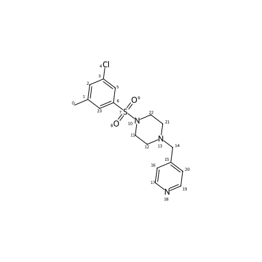 Cc1cc(Cl)cc(S(=O)(=O)N2CCN(Cc3ccncc3)CC2)c1